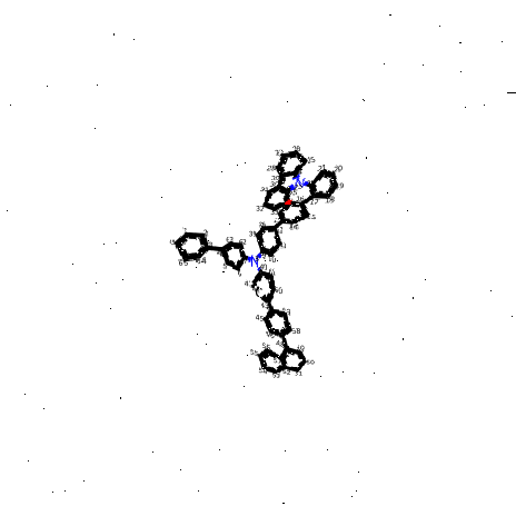 c1ccc(-c2ccc(N(c3ccc(-c4ccc(-c5ccccc5-n5c6ccccc6c6ccccc65)cc4)cc3)c3ccc(-c4ccc(-c5cccc6ccccc56)cc4)cc3)cc2)cc1